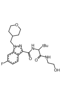 CC(C)(C)C(NC(=O)c1nn(CC2CCOCC2)c2cc(F)ccc12)C(=O)NCCO